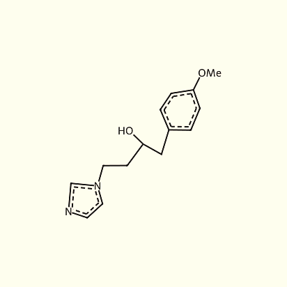 COc1ccc(CC(O)CCn2ccnc2)cc1